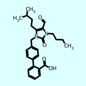 CCCCn1c(C=O)c(CCC(C)C)n(Cc2ccc(-c3ccccc3C(=O)O)cc2)c1=O